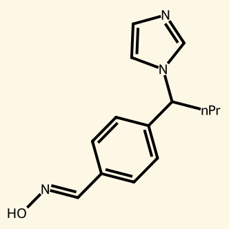 CCCC(c1ccc(C=NO)cc1)n1ccnc1